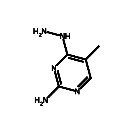 Cc1cnc(N)nc1NN